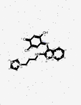 O=C1C=C(O)/C(=N/c2c(NCCCn3ccnc3)nn3ccccc23)C=C1Cl